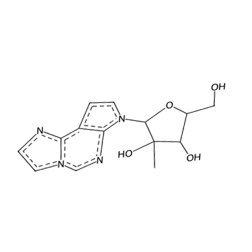 CC1(O)C(O)C(CO)OC1n1ccc2c1ncn1ccnc21